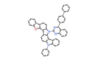 c1ccc(-c2ccc(-c3nc(-n4c5ccc6c7ccccc7oc6c5c5ccc6c(c7ccccc7n6-c6ccccc6)c54)nc4ccccc34)cc2)cc1